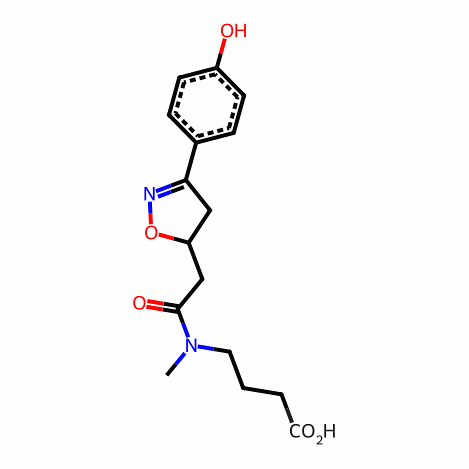 CN(CCCC(=O)O)C(=O)CC1CC(c2ccc(O)cc2)=NO1